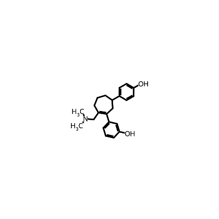 CN(C)CC1=C(c2cccc(O)c2)CC(c2ccc(O)cc2)CCC1